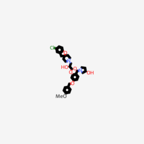 COc1ccc(COc2ccc(C(=O)N3CC[C@H](O)C3)c(OC[C@H](O)CN3CCC4(CC3)Cc3cc(Cl)ccc3O4)c2)cc1